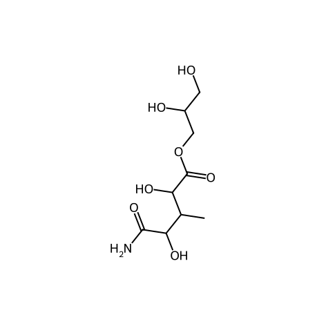 CC(C(O)C(N)=O)C(O)C(=O)OCC(O)CO